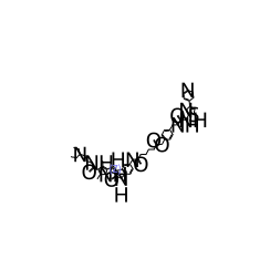 CCN(CC)CCNC(=O)c1c(C)[nH]c(/C=C2\C(=O)Nc3ccc(NC(=O)CCCCC(=O)Oc4ccc(CNC(=O)Nc5nc(-c6ccncc6)cs5)cc4)cc32)c1C